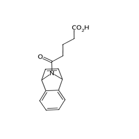 O=C(O)CCCC(=O)N1C2C=CC1c1ccccc12